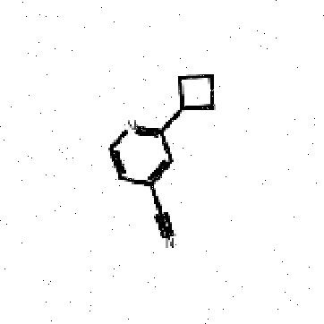 N#Cc1ccnc(C2CCC2)c1